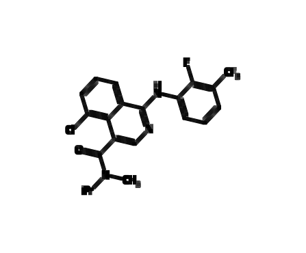 CC(C)N(C)C(=O)c1cnc(Nc2cccc(C(F)(F)F)c2F)c2cccc(Cl)c12